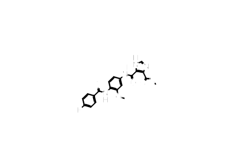 COC(=O)c1nc[nH]c1C(=O)Nc1ccc(NC(=O)c2ccc(F)cc2)c(OC)c1